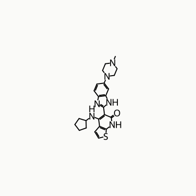 CN1CCN(c2ccc3nc(-c4c(NC5CCCC5)c5ccsc5[nH]c4=O)[nH]c3c2)CC1